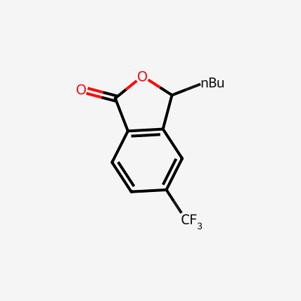 CCCCC1OC(=O)c2ccc(C(F)(F)F)cc21